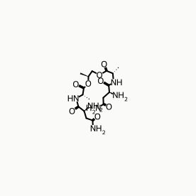 C[C@H](NC(=O)[C@@H](N)CC(N)=O)C(=O)OC[C@H](C)OC(=O)[C@H](C)NC(=O)[C@@H](N)CC(N)=O